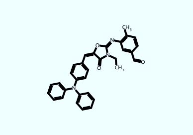 CCN1C(=O)/C(=C\c2ccc(N(c3ccccc3)c3ccccc3)cc2)O/C1=N/c1cc(C=O)ccc1C